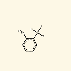 F[B-](F)(F)c1ccccc1Br.[K+]